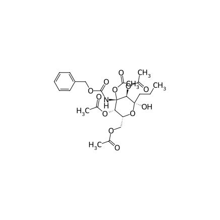 CCC[C@@]1(O)O[C@H](COC(C)=O)[C@H](OC(C)=O)[C@](NC(=O)OCc2ccccc2)(OC(C)=O)[C@H]1OC(C)=O